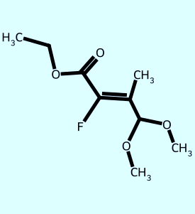 CCOC(=O)/C(F)=C(\C)C(OC)OC